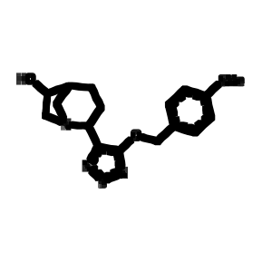 CSc1ccc(COc2nsnc2C2CCC3CN2CC3O)cc1